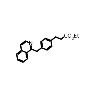 CCOC(=O)CCc1ccc(Cc2nccc3ccccc23)cc1